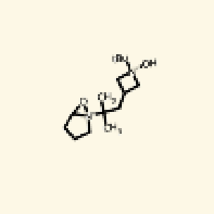 CC(C)(C)[N+]1(O)CC(CC(C)(C)[N+]23CCCC2O3)C1